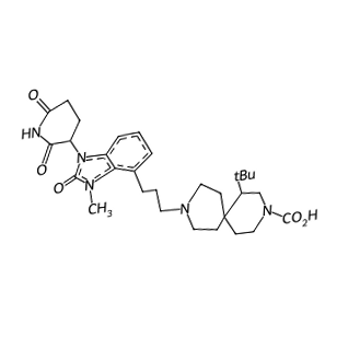 Cn1c(=O)n(C2CCC(=O)NC2=O)c2cccc(CCCN3CCC4(CC3)CCN(C(=O)O)CC4C(C)(C)C)c21